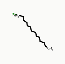 CCCCCCCCCCCC[CH2][Mg][Br]